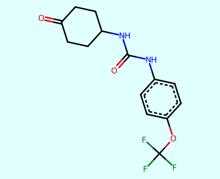 O=C1CCC(NC(=O)Nc2ccc(OC(F)(F)F)cc2)CC1